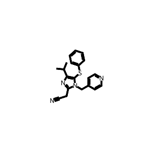 CC(C)c1nc(CC#N)n(Cc2ccncc2)c1Sc1ccccc1